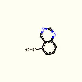 O=[C]c1cccc2ncncc12